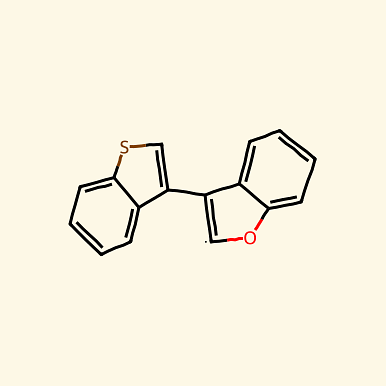 [c]1oc2ccccc2c1-c1csc2ccccc12